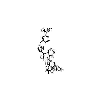 CC1(C)O[C@@H]2[C@@H](CO)C[C@@H](Nc3ncncc3C(=O)c3ccn(Cc4cccc([N+](=O)[O-])c4)n3)[C@@H]2O1